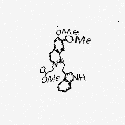 COC(=O)CN1CCc2cc(OC)c(OC)cc2[C@H]1CCc1c[nH]c2ccccc12